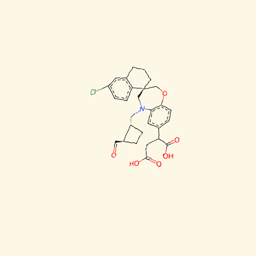 O=C[C@@H]1CC[C@H]1CN1C[C@@]2(CCCc3cc(Cl)ccc32)COc2ccc(C(CC(=O)O)C(=O)O)cc21